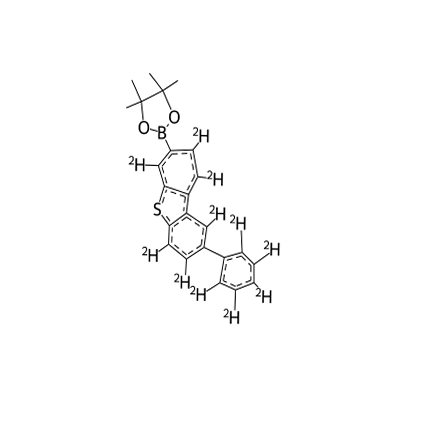 [2H]c1c([2H])c([2H])c(-c2c([2H])c([2H])c3sc4c([2H])c(B5OC(C)(C)C(C)(C)O5)c([2H])c([2H])c4c3c2[2H])c([2H])c1[2H]